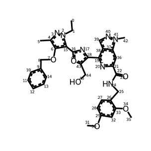 CCn1nc(C)c(OCc2ccccc2)c1-c1nc(-c2nc(C(=O)NCc3ccc(OC)cc3OC)cc3c2cnn3C)c(CO)o1